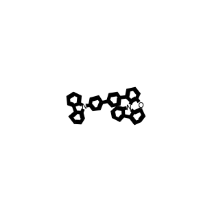 c1cc2c(c(-c3ccc(-c4ccc(-n5c6ccccc6c6ccccc65)cc4)cc3)c1)-n1c3ccccc3c3cccc(c31)O2